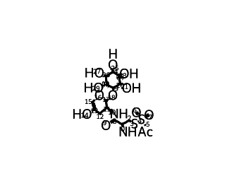 CC(=O)NC(CSS(C)(=O)=O)C(=O)NC1CC(O)=COC1OC1C(O)[C@H](O)C(O)C(O)[C@H]1O